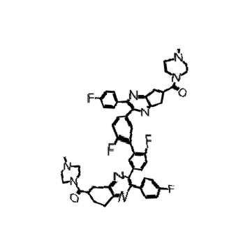 CN1CCN(C(=O)C2CCc3nc(-c4ccc(F)cc4)c(-c4ccc(F)c(-c5cc(-c6nc7c(nc6-c6ccc(F)cc6)CC(C(=O)N6CCN(C)CC6)C7)ccc5F)c4)nc3C2)CC1